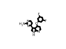 Nc1nccc(-c2c[nH]c3nccc(Oc4cc(F)cc(F)c4)c23)n1